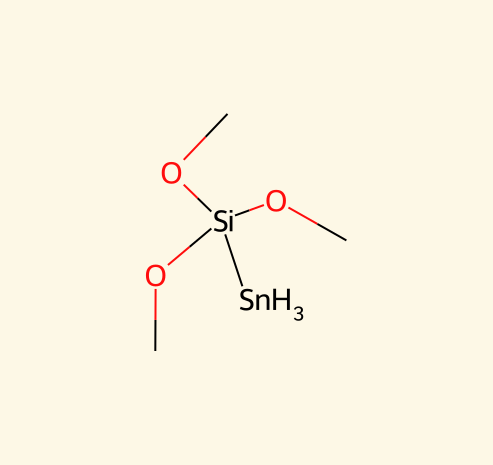 CO[Si]([SnH3])(OC)OC